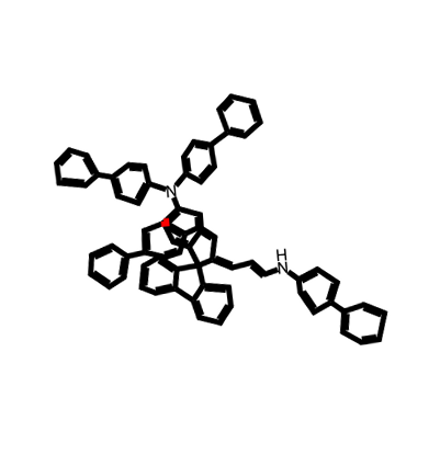 C(=C/c1ccc(-c2ccccc2)cc1)/C(=C\C=C\Nc1ccc(-c2ccccc2)cc1)C1(c2ccc(N(c3ccc(-c4ccccc4)cc3)c3ccc(-c4ccccc4)cc3)cc2)c2ccccc2-c2ccccc21